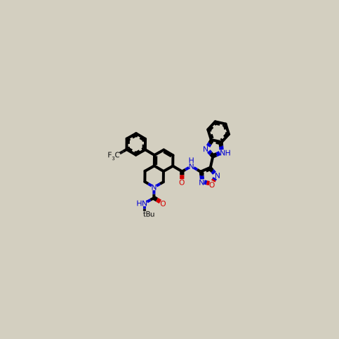 CC(C)(C)NC(=O)N1CCC2=C(c3cccc(C(F)(F)F)c3)C=CC(C(=O)Nc3nonc3-c3nc4ccccc4[nH]3)C2C1